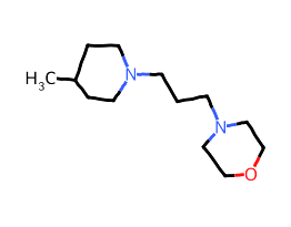 CC1CCN(CCCN2CCOCC2)CC1